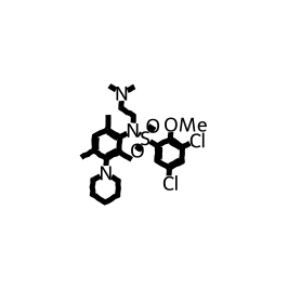 COc1c(Cl)cc(Cl)cc1S(=O)(=O)N(CCN(C)C)c1c(C)cc(C)c(N2CCCCC2)c1C